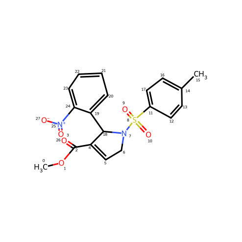 COC(=O)C1=CCN(S(=O)(=O)c2ccc(C)cc2)C1c1ccccc1[N+](=O)[O-]